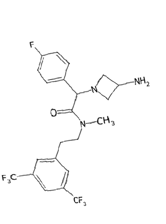 CN(CCc1cc(C(F)(F)F)cc(C(F)(F)F)c1)C(=O)C(c1ccc(F)cc1)N1CC(N)C1